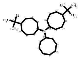 CCC(C)(C)C1CCCC(N(C2CCCCCCC2)C2CCCC(C(C)(N)CC)CCC2)CCC1